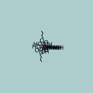 CCCCOC(=O)C(O)(C(O)(C(=O)OCCCC)P(=O)(O)O)P(=O)(O)O.[NaH].[NaH].[NaH].[NaH]